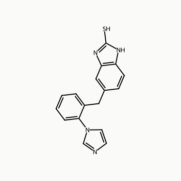 Sc1nc2cc(Cc3ccccc3-n3ccnc3)ccc2[nH]1